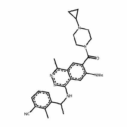 CNc1cc2c(NC(C)c3cccc(C#N)c3C)nnc(C)c2cc1C(=O)N1CCN(C2CC2)CC1